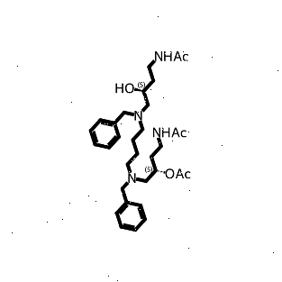 CC(=O)NCC[C@H](O)CN(CCCCN(Cc1ccccc1)C[C@H](CCNC(C)=O)OC(C)=O)Cc1ccccc1